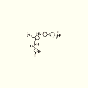 CN(C)CCc1cc(Nc2ccc(N3CCC(C(F)(F)F)CC3)cc2)ccc1CNC(=O)C1CNC(=O)C1